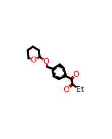 CCC(=O)C(=O)c1ccc(COC2CCCCO2)cc1